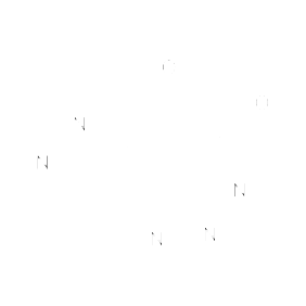 O=C1N=NN=C2C=NN=C2C1=O